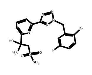 CC(O)(CS(N)(=O)=O)c1cccc(-c2nnn(Cc3cc(F)ccc3Br)n2)n1